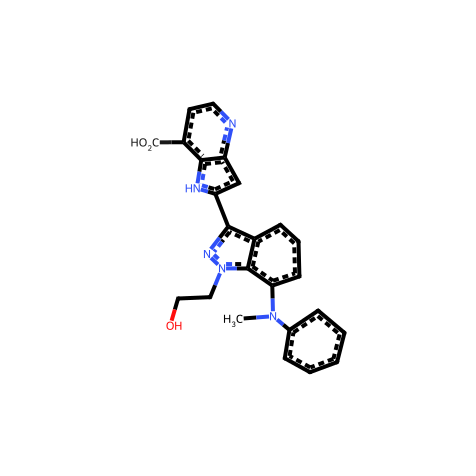 CN(c1ccccc1)c1cccc2c(-c3cc4nccc(C(=O)O)c4[nH]3)nn(CCO)c12